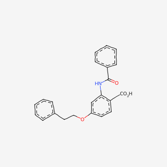 O=C(Nc1cc(OCCc2ccccc2)ccc1C(=O)O)c1ccccc1